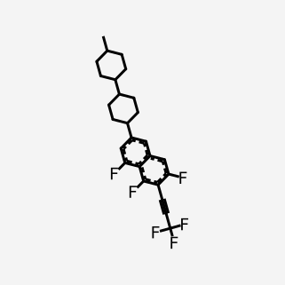 CC1CCC(C2CCC(c3cc(F)c4c(F)c(C#CC(F)(F)F)c(F)cc4c3)CC2)CC1